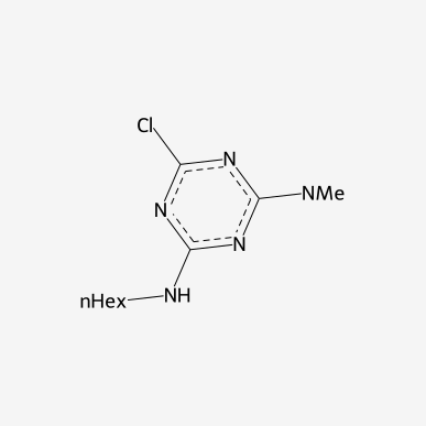 CCCCCCNc1nc(Cl)nc(NC)n1